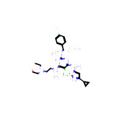 OC[C@H](Nc1nc(NCCN2CCOCC2)c(Cl)c(Nc2cc(C3CC3)n[nH]2)n1)c1ccc(F)cc1